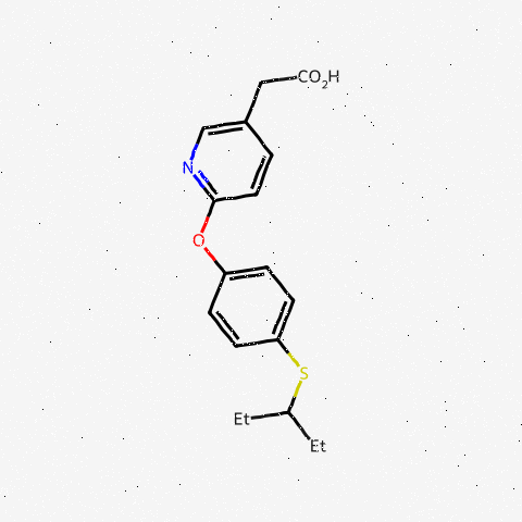 CCC(CC)Sc1ccc(Oc2ccc(CC(=O)O)cn2)cc1